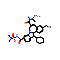 COc1ccc2c(c1)C=C(C(=O)N(C)[C@H](C)C(=O)O)Cn1c-2c(C2CCCCC2)c2ccc(C(=O)NS(=O)(=O)N(C)C)cc21